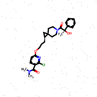 CN(C)C(=O)c1ccc(OCCC[C@H]2CC23CCN(C(=O)[C@](O)(c2ccccc2)C(F)(F)F)CC3)nc1Cl